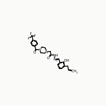 C=CCc1cccc(/C=N/NC(=O)CN2CCN(C(=O)c3ccc(C(F)(F)F)cc3)CC2)c1O